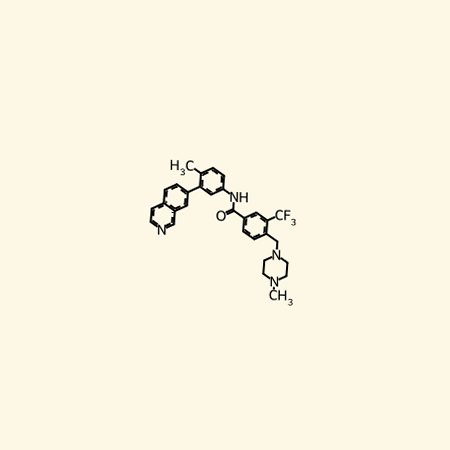 Cc1ccc(NC(=O)c2ccc(CN3CCN(C)CC3)c(C(F)(F)F)c2)cc1-c1ccc2ccncc2c1